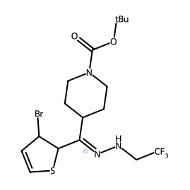 CC(C)(C)OC(=O)N1CCC(/C(=N\NCC(F)(F)F)C2SC=CC2Br)CC1